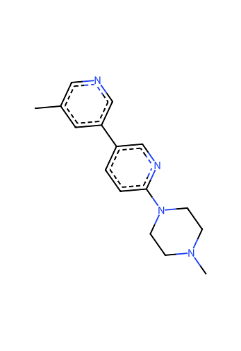 Cc1cncc(-c2ccc(N3CCN(C)CC3)nc2)c1